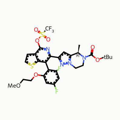 COCCOc1cc(F)cc(F)c1-c1c(-c2cc3n(n2)CCN(C(=O)OC(C)(C)C)[C@@H]3C)nc(OS(=O)(=O)C(F)(F)F)c2ccsc12